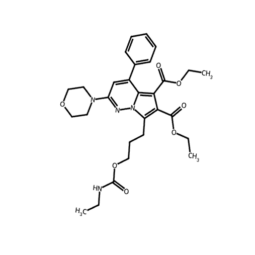 CCNC(=O)OCCCc1c(C(=O)OCC)c(C(=O)OCC)c2c(-c3ccccc3)cc(N3CCOCC3)nn12